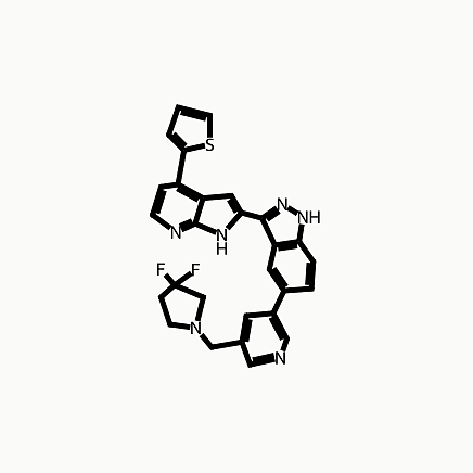 FC1(F)CCN(Cc2cncc(-c3ccc4[nH]nc(-c5cc6c(-c7cccs7)ccnc6[nH]5)c4c3)c2)C1